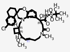 CO[C@H]1/C=C/CCN(C)C(=O)C[C@](O)(C(=O)NS(=O)(=O)C(C)(C)C)c2ccc3c(c2)N(C[C@@H]2CC[C@H]21)C[C@@]1(CCCc2cc(Cl)ccc21)CO3